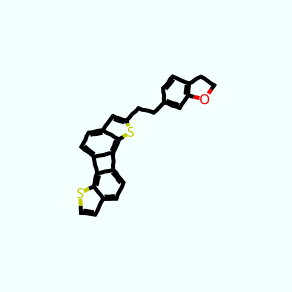 c1cc2ccc3c(c2s1)-c1ccc2cc(CCc4ccc5c(c4)OCC5)sc2c1-3